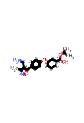 Cc1noc(-c2ccc(O[C@H]3CCC[C@H]([C@@H](O)OC(C)C)C3)cc2)c1CN